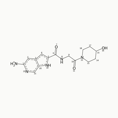 Nc1cc2cc(C(=O)NCC(=O)N3CCC(O)CC3)[nH]c2cn1